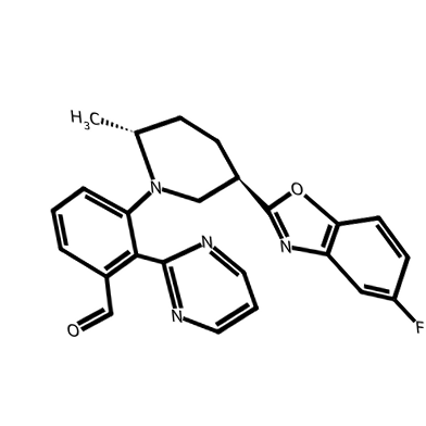 C[C@@H]1CC[C@@H](c2nc3cc(F)ccc3o2)CN1c1cccc(C=O)c1-c1ncccn1